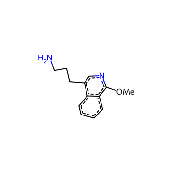 COc1ncc(CCCN)c2ccccc12